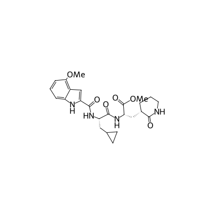 COC(=O)[C@H](C[C@@H]1CCCNC1=O)NC(=O)[C@H](CC1CC1)NC(=O)c1cc2c(OC)cccc2[nH]1